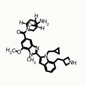 COc1cc(C(=O)N2C[C@H]3CC[C@@H]2C[C@@H]3N)cc2nc(-c3cc4cccc(CC5CNC5)c4n3CC3CC3)n(C)c12